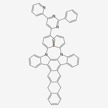 c1ccc(-c2nc(-c3ccc(-n4c5ccccc5c5c6cc7c(cc6c6c8ccccc8n(-c8ccccc8)c6c54)Cc4ccccc4C7)cc3)cc(-c3ccccn3)n2)cc1